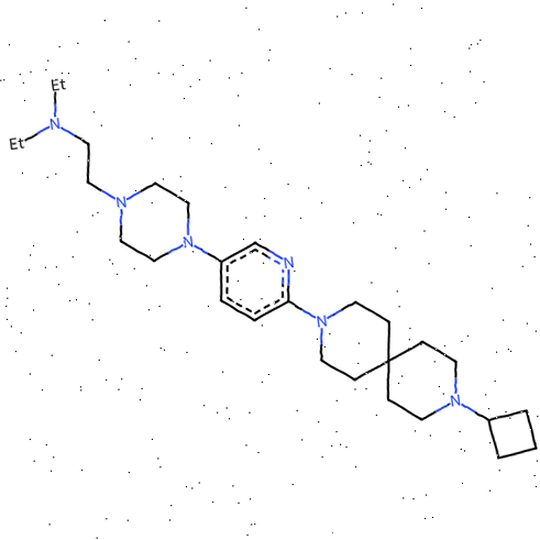 CCN(CC)CCN1CCN(c2ccc(N3CCC4(CC3)CCN(C3CCC3)CC4)nc2)CC1